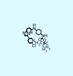 CC(C)(C)OC(=O)NC1CCC(Nc2ccc3ncc(-c4ccc(Cl)nc4)n3n2)CC1